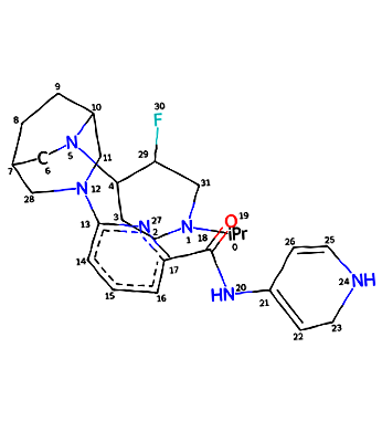 CC(C)N1CCC(N2CC3CCC2CN(c2cccc(C(=O)NC4=CCNC=C4)n2)C3)C(F)C1